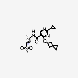 C[C@@H](/C=C/S(C)(=O)=O)NC(=O)c1cnc(C2CC2)nc1OC1CC2(CC2)C1